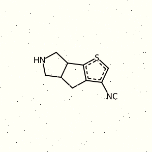 [C-]#[N+]c1csc2c1CC1CNCC21